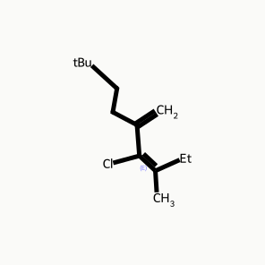 C=C(CCC(C)(C)C)/C(Cl)=C(/C)CC